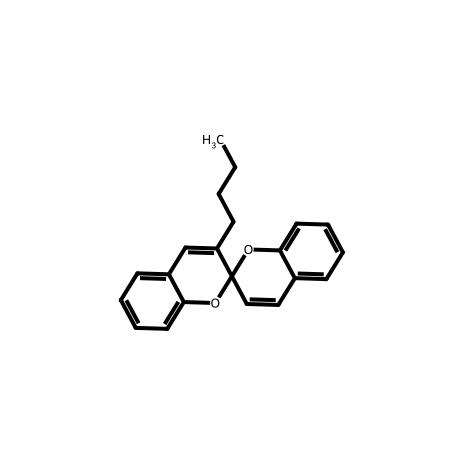 CCCCC1=Cc2ccccc2OC12C=Cc1ccccc1O2